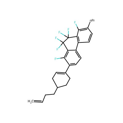 C=CCCC1CC=C(c2ccc3c(c2F)C(F)(F)C(F)(F)c2c-3ccc(CCC)c2F)CC1